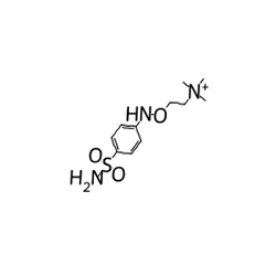 C[N+](C)(C)CCONc1ccc(S(N)(=O)=O)cc1